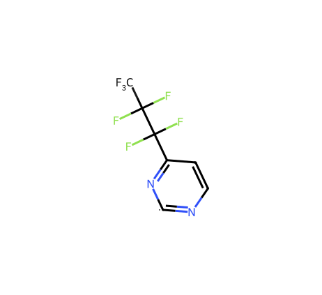 FC(F)(F)C(F)(F)C(F)(F)c1ccn[c]n1